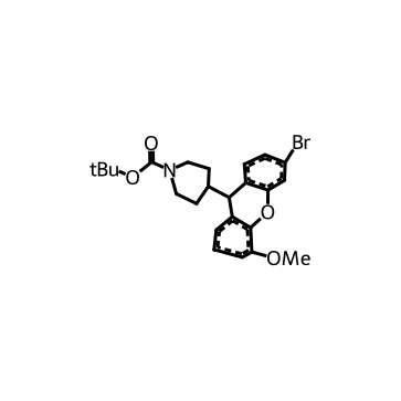 COc1cccc2c1Oc1cc(Br)ccc1C2C1CCN(C(=O)OC(C)(C)C)CC1